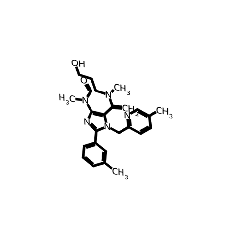 C=C(c1c(N(C)C=O)nc(-c2cccc(C)c2)n1Cc1ccc(C)cn1)N(C)CCCO